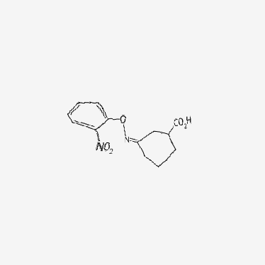 O=C(O)C1CCCC(=NOc2ccccc2[N+](=O)[O-])C1